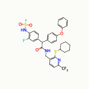 CS(=O)(=O)Nc1ccc(C(C(=O)NCc2ccc(C(F)(F)F)nc2SC2CCCCC2)c2ccc(Oc3ccccc3)cc2)cc1F